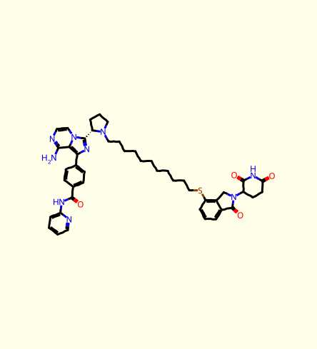 Nc1nccn2c([C@@H]3CCCN3CCCCCCCCCCCSc3cccc4c3CN(C3CCC(=O)NC3=O)C4=O)nc(-c3ccc(C(=O)Nc4ccccn4)cc3)c12